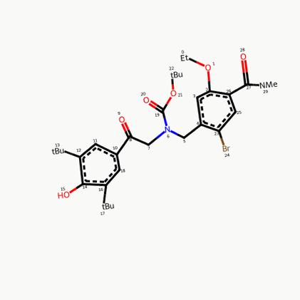 CCOc1cc(CN(CC(=O)c2cc(C(C)(C)C)c(O)c(C(C)(C)C)c2)C(=O)OC(C)(C)C)c(Br)cc1C(=O)NC